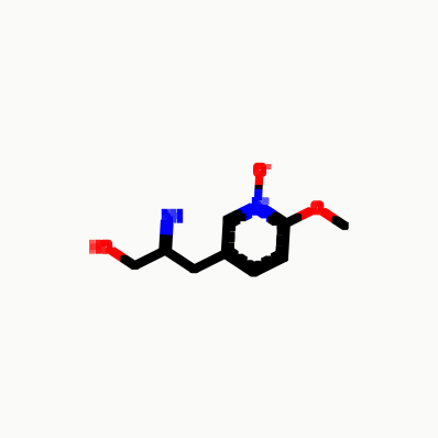 COc1ccc(CC(=N)CO)c[n+]1[O-]